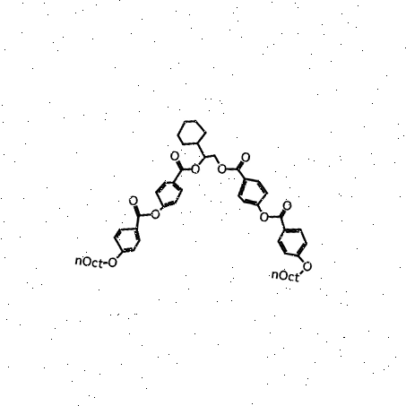 CCCCCCCCOc1ccc(C(=O)Oc2ccc(C(=O)OCC(OC(=O)c3ccc(OC(=O)c4ccc(OCCCCCCCC)cc4)cc3)C3CCCCC3)cc2)cc1